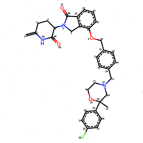 C=C1CCC(N2Cc3c(OCc4ccc(CN5CCOC(C)(c6ccc(F)cc6)C5)cc4)cccc3C2=O)C(=O)N1